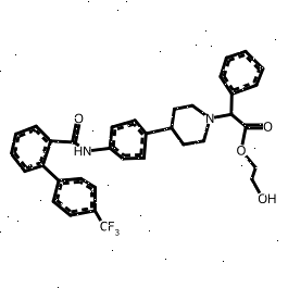 O=C(Nc1ccc(C2CCN(C(C(=O)OCCO)c3ccccc3)CC2)cc1)c1ccccc1-c1ccc(C(F)(F)F)cc1